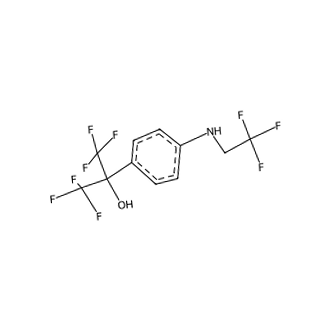 OC(c1ccc(NCC(F)(F)F)cc1)(C(F)(F)F)C(F)(F)F